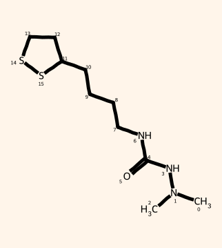 CN(C)NC(=O)NCCCCC1CCSS1